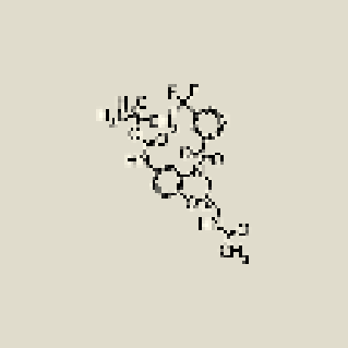 CC(=O)NC[C@H]1CN(S(=O)(=O)c2cncc(C(F)(F)F)c2)c2cc(NC(=O)OC(C)(C)C)ccc2O1